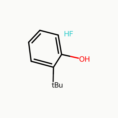 CC(C)(C)c1ccccc1O.F